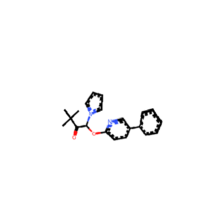 CC(C)(C)C(=O)C(Oc1ccc(-c2ccccc2)cn1)n1cccc1